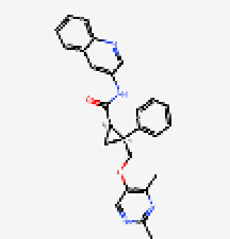 Cc1ncc(OC[C@@]2(c3ccccc3)C[C@H]2C(=O)Nc2cnc3ccccc3c2)c(C)n1